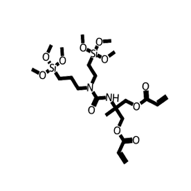 C=CC(=O)OCC(C)(COC(=O)C=C)NC(=O)N(CCC[Si](OC)(OC)OC)CC[Si](OC)(OC)OC